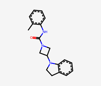 Cc1ccccc1NC(=O)N1CC(N2CCc3ccccc32)C1